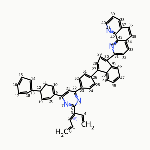 C=C/C=C(\C=C)c1nc(C2=CCC(c3ccccc3)C=C2)cc(-c2ccc(-c3ccc(-c4ccc5ccc6cccnc6c5n4)c4ccccc34)cc2)n1